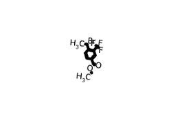 CCOC(=O)c1ccc(C(C)Br)c(C(F)(F)F)c1